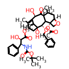 CC(=O)O[C@@]12CO[C@@H]1C[C@H](C)[C@@]1(C)C(=O)[C@H](O)C3=C(C)[C@@H](OC(=O)[C@H](O)[C@@H](NC(=O)OC(C)(C)C)c4ccccc4)C[C@@](O)([C@@H](OCc4ccccc4)C12)C3(C)C